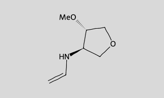 C=CN[C@@H]1COC[C@H]1OC